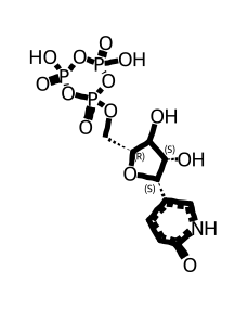 O=c1ccc([C@@H]2O[C@H](COP3(=O)OP(=O)(O)OP(=O)(O)O3)C(O)[C@@H]2O)c[nH]1